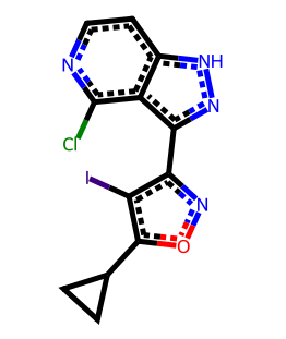 Clc1nccc2[nH]nc(-c3noc(C4CC4)c3I)c12